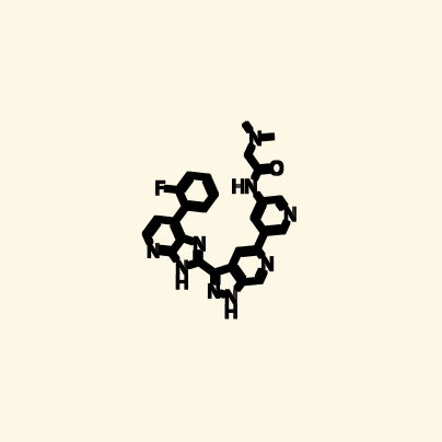 CN(C)CC(=O)Nc1cncc(-c2cc3c(-c4nc5c(-c6ccccc6F)ccnc5[nH]4)n[nH]c3cn2)c1